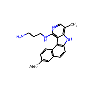 COc1ccc2c(ccc3[nH]c4c(C)cnc(NCCCN)c4c32)c1